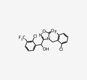 O=c1onc(C(O)c2cccc(C(F)(F)F)c2Cl)n1Cc1c(F)cccc1Cl